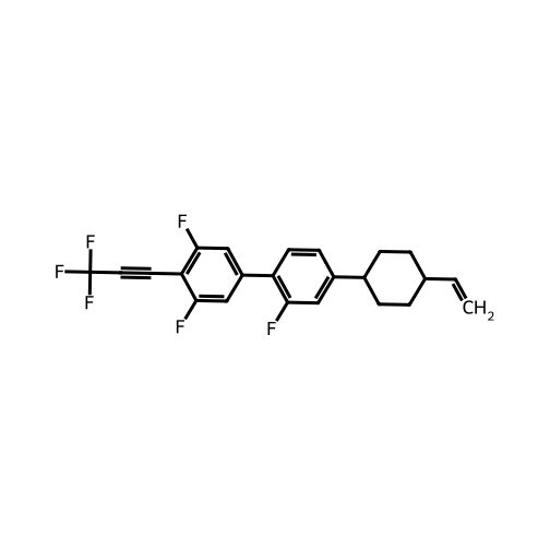 C=CC1CCC(c2ccc(-c3cc(F)c(C#CC(F)(F)F)c(F)c3)c(F)c2)CC1